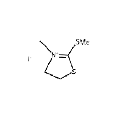 CSC1=[N+](C)CCS1.[I-]